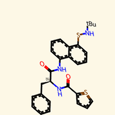 CC(C)(C)NSc1cccc2c(NC(=O)[C@H](Cc3ccccc3)NC(=O)c3cccs3)cccc12